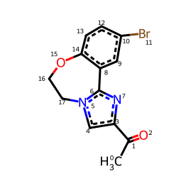 CC(=O)c1cn2c(n1)-c1cc(Br)ccc1OCC2